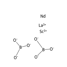 [La+3].[Nd].[O-]B([O-])[O-].[O-]B([O-])[O-].[Sc+3]